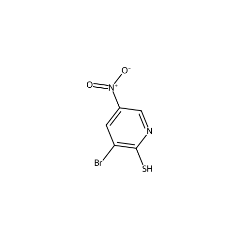 O=[N+]([O-])c1cnc(S)c(Br)c1